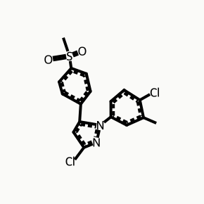 Cc1cc(-n2nc(Cl)cc2-c2ccc(S(C)(=O)=O)cc2)ccc1Cl